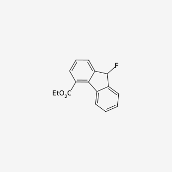 CCOC(=O)c1cccc2c1-c1ccccc1C2F